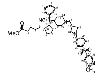 COC(=O)CCCC[C@H]1CCC[C@@H]1C(C#N)(c1ccccc1)C1CCN(CC2CN(c3ccc(S(=O)(=O)c4cnn(C)c4)cc3)C2)CC1